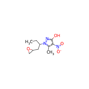 CCC(CC1CO1)n1nc(O)c([N+](=O)[O-])c1C